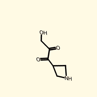 O=C(CO)C(=O)C1CNC1